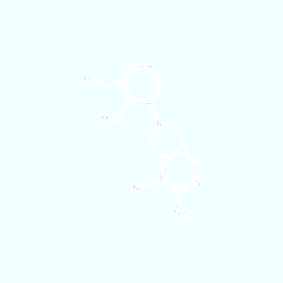 COc1cccc(N2Cc3cnc(N)c(C#N)c3C2)c1OC